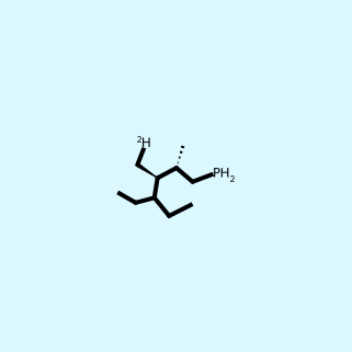 [2H]C[C@H](C(CC)CC)[C@H](C)CP